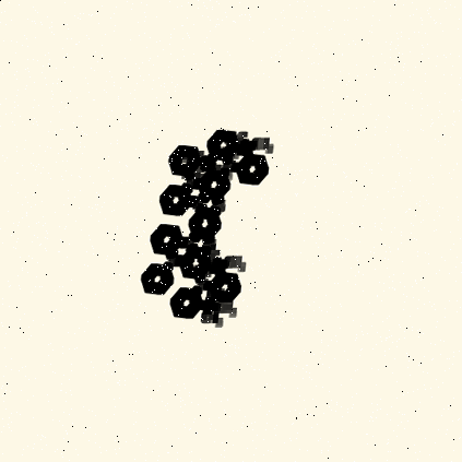 CC(C)(C)c1ccccc1N(c1cc2sc3cc4sc5cc(N(c6ccccc6C(C)(C)C)c6ccccc6C(C)(C)C)cc6c5n(c4cc3n3c4ccccc4n(-c4ccccc4)c(c1)c23)c1ccccc1n6-c1ccccc1)c1ccccc1C(C)(C)C